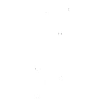 O=C1OCC(COC(F)F)O1